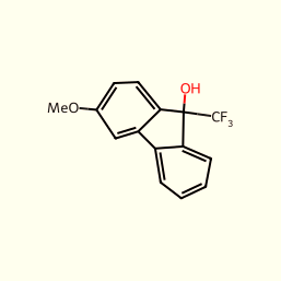 COc1ccc2c(c1)-c1ccccc1C2(O)C(F)(F)F